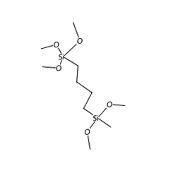 CO[Si](C)(CCCC[Si](OC)(OC)OC)OC